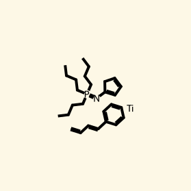 C=CC=Cc1ccccc1.CCCCP(CCCC)(CCCC)=NC1=CC=CC1.[Ti]